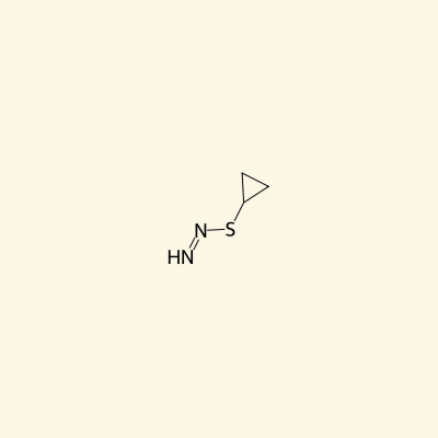 N=NSC1CC1